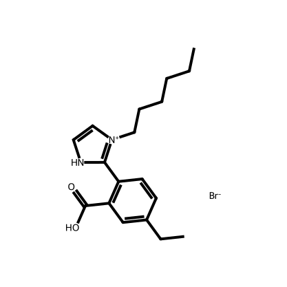 CCCCCC[n+]1cc[nH]c1-c1ccc(CC)cc1C(=O)O.[Br-]